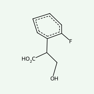 O=C(O)C(CO)c1ccccc1F